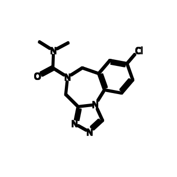 CN(C)C(=O)N1Cc2cc(Cl)ccc2-n2cnnc2C1